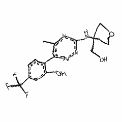 Cc1nc(NC2(CO)COC2)nnc1-c1ccc(C(F)(F)F)cc1O